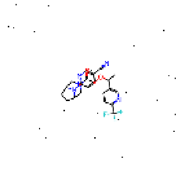 CC(OCC(=O)N1CC2CCC(C1)N2c1ccc(C#N)cn1)c1ccc(C(F)(F)F)nc1